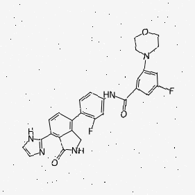 O=C(Nc1ccc(-c2ccc(-c3ncc[nH]3)c3c2CNC3=O)c(F)c1)c1cc(F)cc(N2CCOCC2)c1